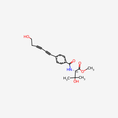 COC(=O)[C@@H](NC(=O)c1ccc(C#CC#CCCO)cc1)C(C)(C)O